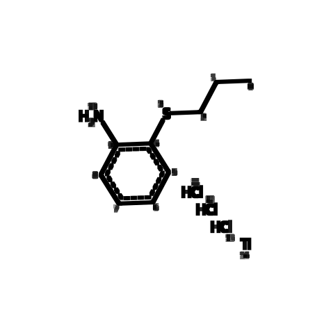 CCCSc1ccccc1N.Cl.Cl.Cl.[Ti]